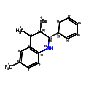 CCCC[C@@H]1C(C)c2cc(C(F)(F)F)ccc2N[C@H]1C1C=CC=CC1